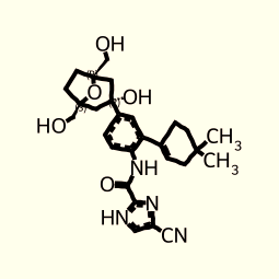 CC1(C)CC=C(c2cc([C@@]3(O)C[C@]4(CO)CC[C@](CO)(C3)O4)ccc2NC(=O)c2nc(C#N)c[nH]2)CC1